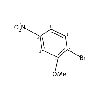 COc1[c]c([N+](=O)[O-])ccc1Br